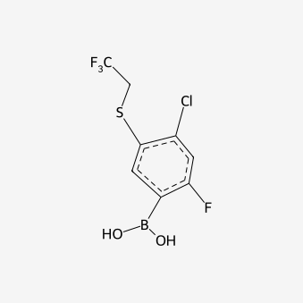 OB(O)c1cc(SCC(F)(F)F)c(Cl)cc1F